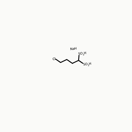 O=S(=O)(O)C(CCCCl)S(=O)(=O)O.[NaH]